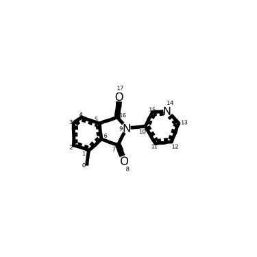 Cc1cccc2c1C(=O)N(c1cccnc1)C2=O